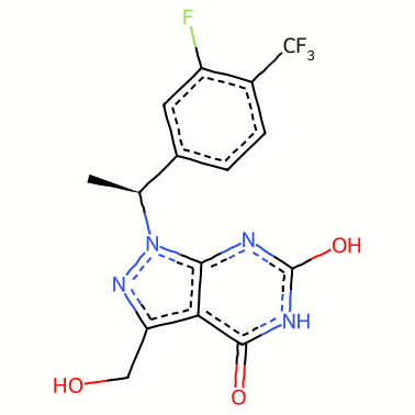 C[C@@H](c1ccc(C(F)(F)F)c(F)c1)n1nc(CO)c2c(=O)[nH]c(O)nc21